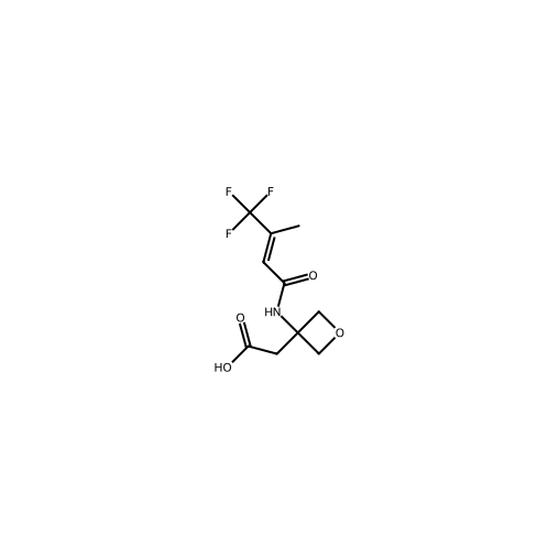 C/C(=C\C(=O)NC1(CC(=O)O)COC1)C(F)(F)F